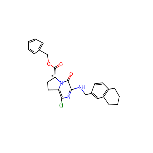 O=C(OCc1ccccc1)[C@@H]1CCc2c(Cl)nc(NCc3ccc4c(c3)CCCC4)c(=O)n21